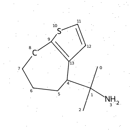 CC(C)(N)C1CCCCc2sccc21